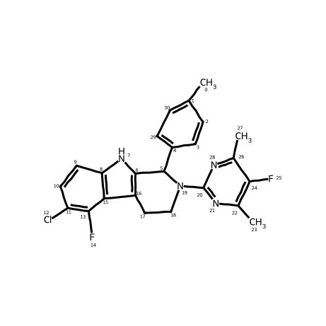 Cc1ccc(C2c3[nH]c4ccc(Cl)c(F)c4c3CCN2c2nc(C)c(F)c(C)n2)cc1